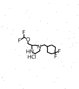 Cl.FC(F)OCC1CN(CC2CCC(F)(F)CC2)CCN1